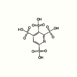 O=S(=O)(O)c1cc(S(=O)(=O)O)c(S(=O)(=O)O)c(S(=O)(=O)O)n1